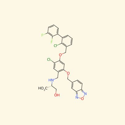 O=C(O)[C@@H](CO)NCc1cc(Cl)c(OCc2cccc(-c3cccc(F)c3F)c2Cl)cc1OCc1ccc2nonc2c1